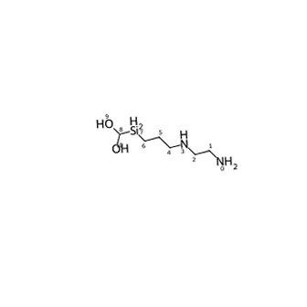 NCCNCCC[SiH2]C(O)O